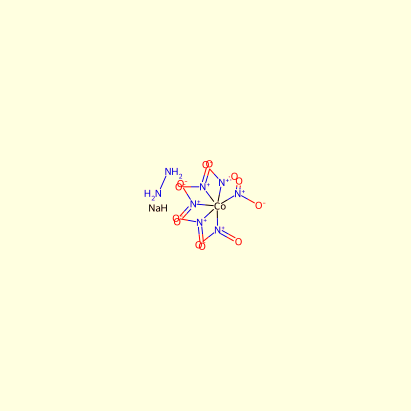 NN.O=[N+]([O-])[Co]([N+](=O)[O-])([N+](=O)[O-])([N+](=O)[O-])([N+](=O)[O-])[N+](=O)[O-].[NaH]